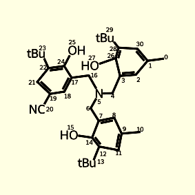 Cc1cc(CN(Cc2cc(C)cc(C(C)(C)C)c2O)Cc2cc(C#N)cc(C(C)(C)C)c2O)c(O)c(C(C)(C)C)c1